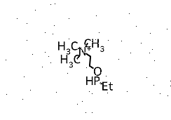 CCPOCC[N+](C)(C)C